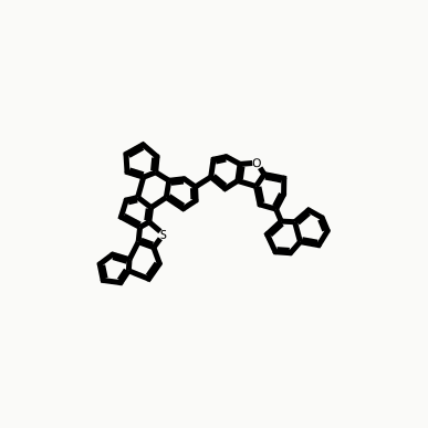 c1ccc2c(-c3ccc4oc5ccc(-c6ccc7c(c6)c6ccccc6c6ccc8c(sc9ccc%10ccccc%10c98)c67)cc5c4c3)cccc2c1